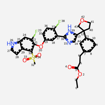 CCOC(=O)CCc1cccc(C2(c3cnc(-c4cc(Oc5c(F)cc6[nH]ccc6c5S(C)(=O)=O)ccc4F)[nH]3)CCOC2)c1